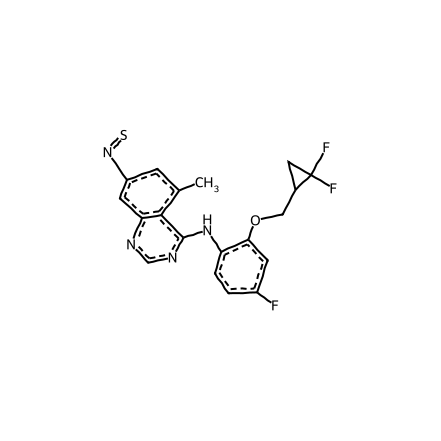 Cc1cc(N=S)cc2ncnc(Nc3ccc(F)cc3OCC3CC3(F)F)c12